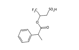 CC(C(=O)OC(CS(=O)(=O)O)C(F)(F)F)c1ccccc1